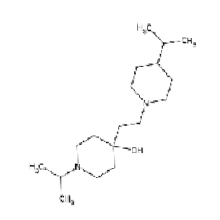 CC(C)C1CCN(CCC2(O)CCN(C(C)C)CC2)CC1